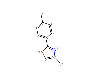 Cc1ccc(-c2nc(C(C)C)cs2)cc1